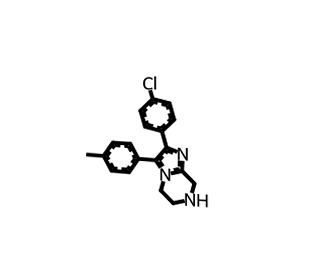 Cc1ccc(-c2c(-c3ccc(Cl)cc3)nc3n2CCNC3)cc1